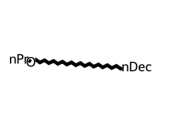 CCCCCCCCCCCCCCCCCCCCCCCCCCCCCCOCCC